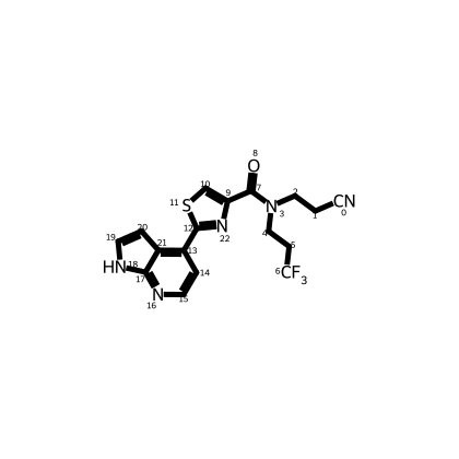 N#CCCN(CCC(F)(F)F)C(=O)c1csc(-c2ccnc3[nH]ccc23)n1